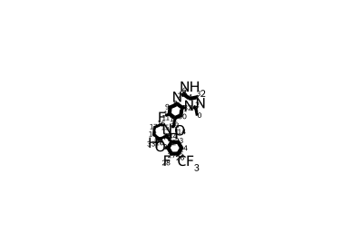 Cc1ncc2c(N)nc3cc(F)c(C(=O)N4CCC[C@@H]5Oc6c(ccc(C(F)(F)F)c6F)[C@@H]54)cc3n12